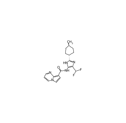 C[C@H]1CC[C@H](c2nc(C(F)F)c(NC(=O)c3ccn4cccnc34)[nH]2)CC1